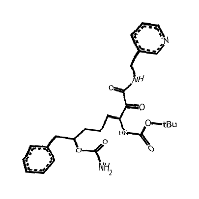 CC(C)(C)OC(=O)NC(CCCC(Cc1ccccc1)OC(N)=O)C(=O)C(=O)NCc1cccnc1